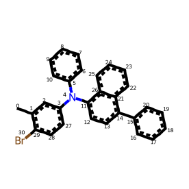 Cc1cc(N(c2ccccc2)c2ccc(-c3ccccc3)c3ccccc23)ccc1Br